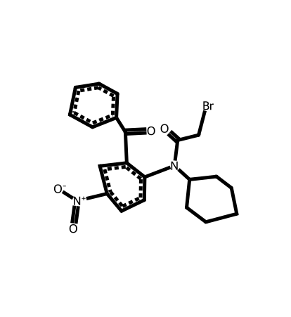 O=C(c1ccccc1)c1cc([N+](=O)[O-])ccc1N(C(=O)CBr)C1CCCCC1